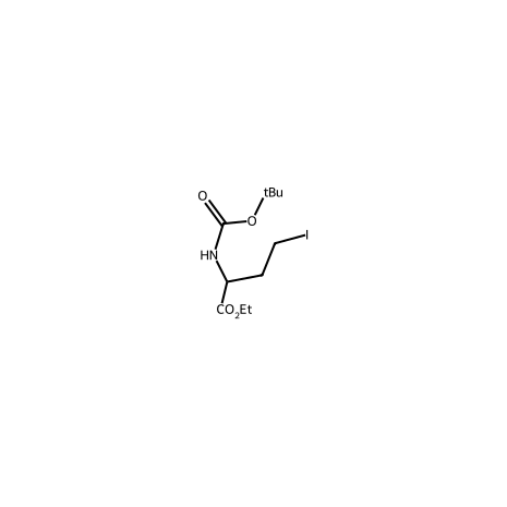 CCOC(=O)C(CCI)NC(=O)OC(C)(C)C